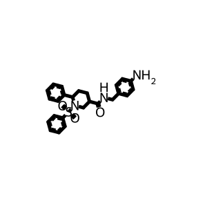 Nc1ccc(CNC(=O)C2CCC(c3ccccc3)N(S(=O)(=O)c3ccccc3)C2)cc1